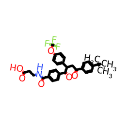 CC(C)(C)c1ccc(C(=O)CC(C(=O)c2ccc(C(=O)NCCC(=O)O)cc2)c2ccc(OC(F)(F)F)cc2)cc1